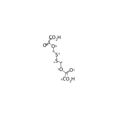 O=C(O)C(=O)OCSSCOC(=O)C(=O)O